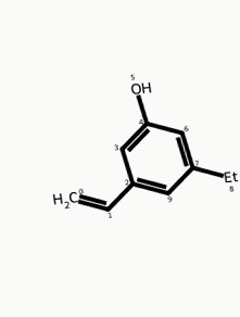 C=Cc1cc(O)cc(CC)c1